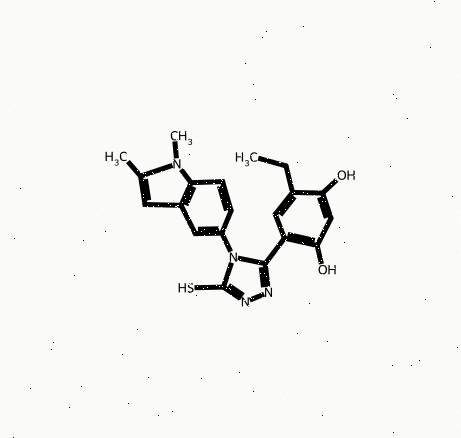 CCc1cc(-c2nnc(S)n2-c2ccc3c(c2)cc(C)n3C)c(O)cc1O